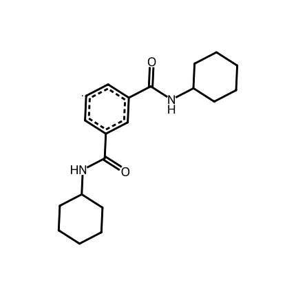 O=C(NC1CCCCC1)c1c[c]cc(C(=O)NC2CCCCC2)c1